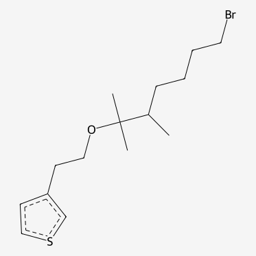 CC(CCCCBr)C(C)(C)OCCc1ccsc1